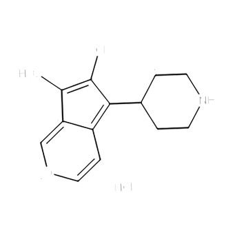 Cc1c2coccc-2c(C2CCNCC2)c1C.Cl